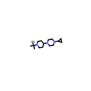 CCC(C)(C)N1CCC(N2CCN(C3CC3)CC2)CC1